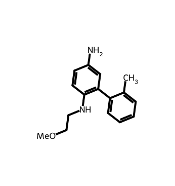 COCCNc1ccc(N)cc1-c1ccccc1C